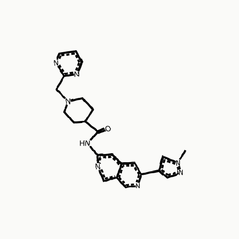 Cn1cc(-c2cc3cc(NC(=O)C4CCN(Cc5ncccn5)CC4)ncc3cn2)cn1